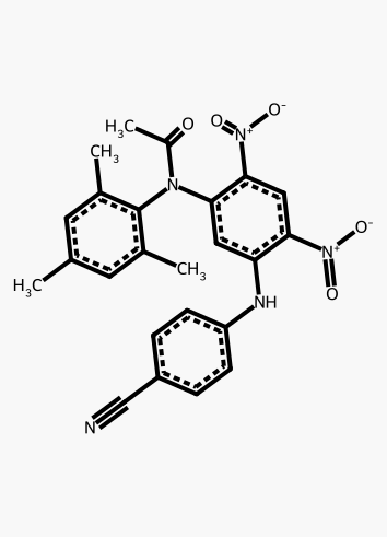 CC(=O)N(c1cc(Nc2ccc(C#N)cc2)c([N+](=O)[O-])cc1[N+](=O)[O-])c1c(C)cc(C)cc1C